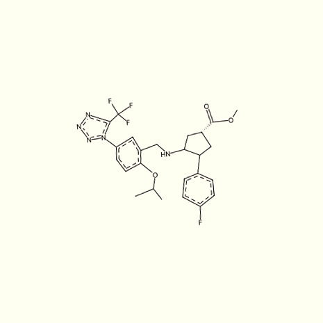 COC(=O)[C@H]1CC(NCc2cc(-n3nnnc3C(F)(F)F)ccc2OC(C)C)C(c2ccc(F)cc2)C1